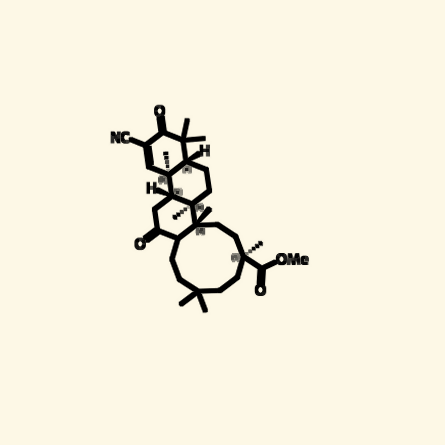 COC(=O)[C@@]1(C)CCC(C)(C)CCC2C(=O)C[C@@H]3[C@@]4(C)C=C(C#N)C(=O)C(C)(C)[C@@H]4CC[C@@]3(C)[C@]2(C)CC1